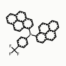 FC(F)(F)c1ccc(P(c2ccc3ccc4cccc5ccc2c3c45)c2ccc3ccc4cccc5ccc2c3c45)cc1